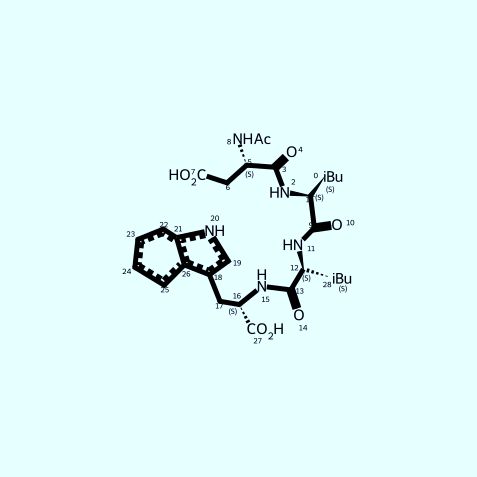 CC[C@H](C)[C@H](NC(=O)[C@H](CC(=O)O)NC(C)=O)C(=O)N[C@H](C(=O)N[C@@H](Cc1c[nH]c2ccccc12)C(=O)O)[C@@H](C)CC